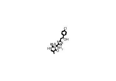 BC(B)(c1nc(CC(O)c2ccc(Cl)cc2)no1)n1c(=O)[nH]cc(C)c1=O